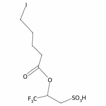 O=C(CCCCI)OC(CS(=O)(=O)O)C(F)(F)F